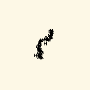 O=C(NCCCN1CCC(CN2CCN(CC(=O)N3CCN(C(=O)c4cc(Cc5n[nH]c(=O)c6ccccc56)ccc4F)CC3)CC2)CC1)c1cccc([C@H]2CCCN(C(=O)CN3Cc4cncnc4C3)C2)c1